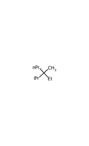 CCCC(C)(CC)C(C)C